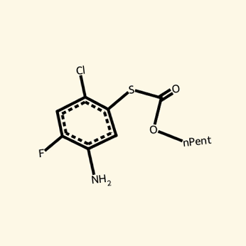 CCCCCOC(=O)Sc1cc(N)c(F)cc1Cl